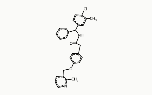 Cc1cc(C(NC(=O)Cc2ccc(OCc3cccnc3C)cc2)c2ccccc2)ccc1Cl